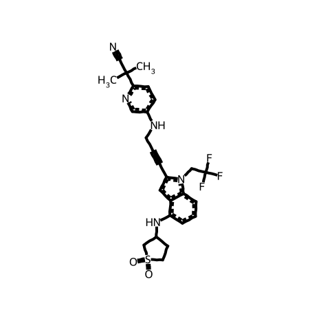 CC(C)(C#N)c1ccc(NCC#Cc2cc3c(NC4CCS(=O)(=O)C4)cccc3n2CC(F)(F)F)cn1